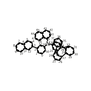 c1cc(-c2ccc3ccccc3c2)cc(N(c2ccc3c(c2)-c2c4cccc2-c2cccc-3c2-c2ccccc2-4)c2cccc3ccccc23)c1